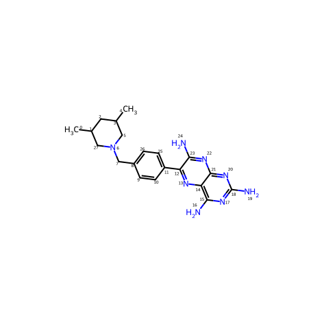 CC1CC(C)CN(Cc2ccc(-c3nc4c(N)nc(N)nc4nc3N)cc2)C1